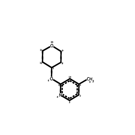 Cc1ccnc(OC2CCOCC2)c1